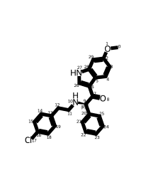 COc1ccc2c(C(=O)[C@H](NCCc3ccc(Cl)cc3)c3ccccc3)c[nH]c2c1